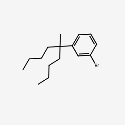 CCCCC(C)(CCCC)c1cccc(Br)c1